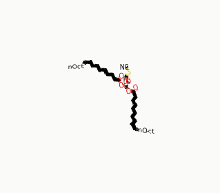 CCCCCCCC/C=C\CCCCCCCC(=O)O[SiH](OCSC#N)OC(=O)CCCCCCC/C=C\CCCCCCCC